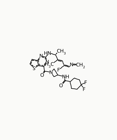 C=N/C=C(F)\C=C(/C)[C@H](C)Nc1nc(C(=O)N2CC(NC(=O)C3CCC(F)(F)CC3)C2)c2sccc2n1